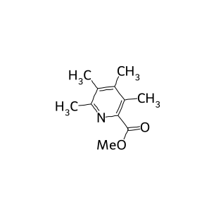 COC(=O)c1nc(C)c(C)c(C)c1C